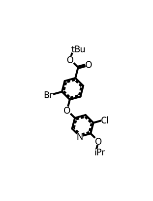 CC(C)Oc1ncc(Oc2ccc(C(=O)OC(C)(C)C)cc2Br)cc1Cl